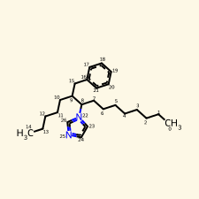 CCCCCCCCC(C(CCCCC)Cc1ccccc1)n1ccnc1